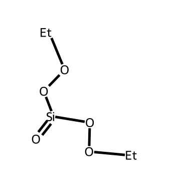 CCOO[Si](=O)OOCC